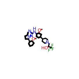 COc1cc(C2CCN(CC(O)C(F)(F)F)CC2)ccc1Nc1ncc2ccc(-c3ccccc3OC)n2n1